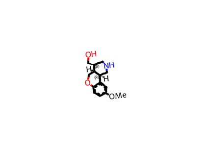 COc1ccc2c(c1)[C@@H]1CNC[C@H](CO)[C@H]1CO2